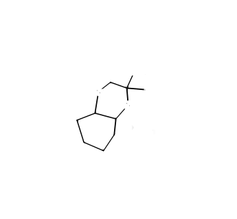 CC1(C)CNC2CCCCC2N1.Cl.Cl